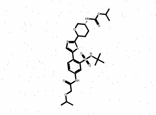 CC(C)OCC(=O)Nc1ccc(-c2cnc(C3CC[C@@H](NC(=O)OC(C)C)CO3)s2)c(S(=O)(=O)NC(C)(C)C)c1